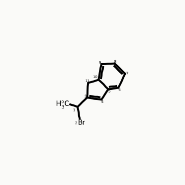 CC(Br)C1=Cc2ccccc2C1